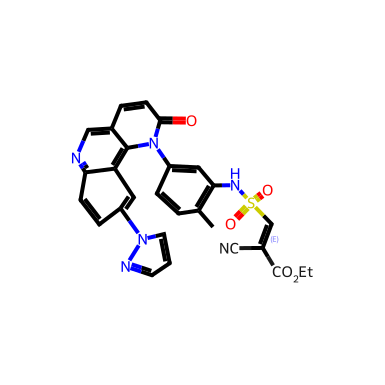 CCOC(=O)/C(C#N)=C/S(=O)(=O)Nc1cc(-n2c(=O)ccc3cnc4ccc(-n5cccn5)cc4c32)ccc1C